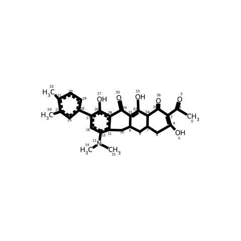 CC(=O)C1=C(O)CC2CC3Cc4c(N(C)C)cc(-c5ccc(C)c(C)c5)c(O)c4C(=O)C3=C(O)C2C1=O